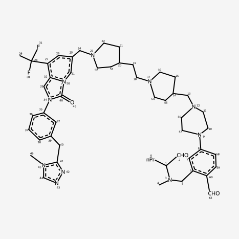 CCCC(C=O)N(C)Cc1cc(N2CCN(CC3CCN(CCC4CCN(Cc5cc(C(C)(F)F)c6cn(-c7cccc(Cc8nncn8C)c7)c(=O)n6c5)CC4)CC3)CC2)ccc1C=O